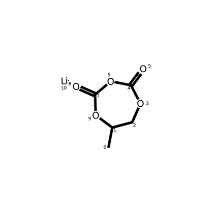 CC1COC(=O)OC(=O)O1.[Li]